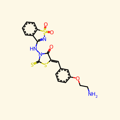 NCCOc1cccc(/C=C2\SC(=S)N(NC3=NS(=O)(=O)c4ccccc43)C2=O)c1